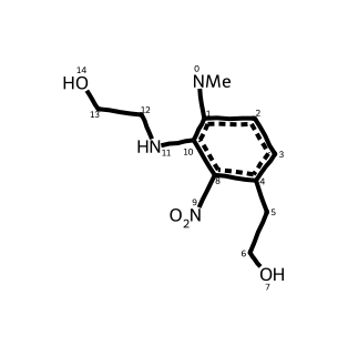 CNc1ccc(CCO)c([N+](=O)[O-])c1NCCO